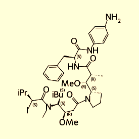 CC[C@H](C)[C@@H]([C@@H](CC(=O)N1CCC[C@H]1[C@H](OC)[C@@H](C)C(=O)N[C@@H](Cc1ccccc1)C(=O)Nc1ccc(N)cc1)OC)N(C)C(=O)[C@@H](I)C(C)C